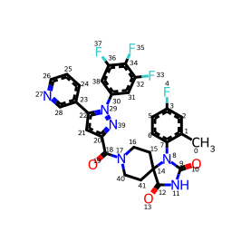 Cc1cc(F)ccc1N1C(=O)NC(=O)C12CCN(C(=O)c1cc(-c3cccnc3)n(-c3cc(F)c(F)c(F)c3)n1)CC2